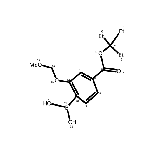 CCC(CC)(CC)OC(=O)c1ccc(B(O)O)c(OCOC)c1